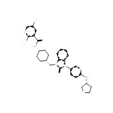 O=C(N[C@H]1CC[C@H](Cn2c(=O)n(-c3ccc(N[C@H]4CCOC4)nc3)c3ccccc32)CC1)c1cc(Cl)cnc1C(F)(F)F